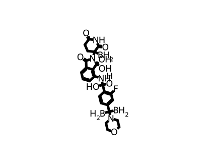 BC1(N2C(=O)c3cccc(NC(O)(O)c4ccc(C(B)(B)N5CCOCC5)cc4F)c3C2(O)O)CCC(=O)NC1=O